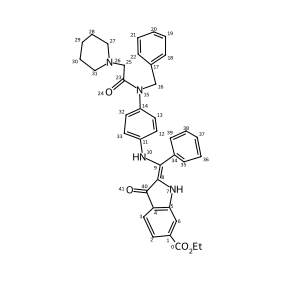 CCOC(=O)c1ccc2c(c1)NC(=C(Nc1ccc(N(Cc3ccccc3)C(=O)CN3CCCCC3)cc1)c1ccccc1)C2=O